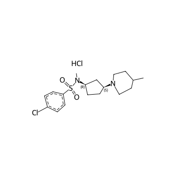 CC1CCN([C@H]2CC[C@@H](N(C)S(=O)(=O)c3ccc(Cl)cc3)C2)CC1.Cl